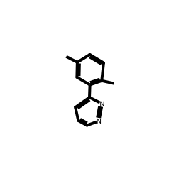 Cc1ccc(C)c(-c2cc[c]nn2)c1